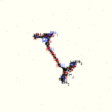 C=C1C[C@H]2C=Nc3cc(OCc4cc(C#CCNC(=O)CCOCCOCCOCCOCCNC(=O)OCc5ccc(NC(=O)[C@H](CCCNC(N)=O)NC(=O)[C@@H](NC(=O)CCCCCN6C(=O)C=CC6=O)C(C)C)cc5)cc(COc5cc6c(cc5OC)C(=O)N5CC(=C)C[C@H]5C=N6)c4)c(OC)cc3C(=O)N2C1